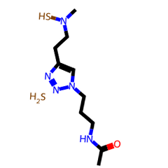 CC(=O)NCCCn1cc(CCN(C)S)nn1.S